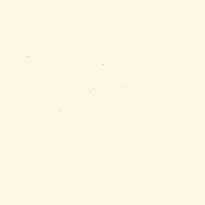 CC(C)Oc1ccc(-c2nc(-c3ccc(OC(C)C)cc3O)nc(-c3ccc(OC(C)C)cc3OC(C)C)n2)c(O)c1